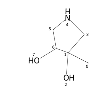 CC1(O)CNCC1O